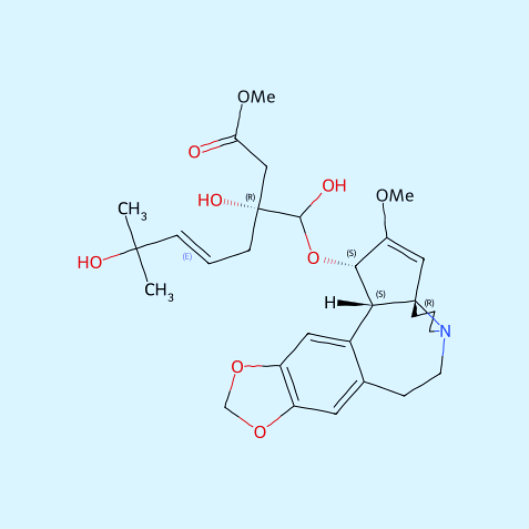 COC(=O)C[C@](O)(C/C=C/C(C)(C)O)C(O)O[C@@H]1C(OC)=C[C@]23CCCN2CCc2cc4c(cc2[C@H]13)OCO4